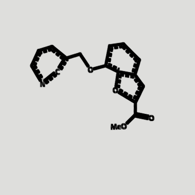 COC(=O)c1cc2cccc(OCc3cccnc3)c2o1